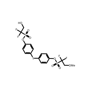 COCC(F)(F)S(=O)(=O)Oc1ccc(Sc2ccc(OS(=O)(=O)C(F)(F)CO)cc2)cc1